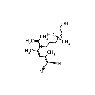 C=C(C)N(CCC[N+](C)(C)CCO)/C(C)=C\C(C)=C(C#N)C#N